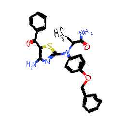 CC(C(N)=O)N(c1ccc(OCc2ccccc2)cc1)c1nc(N)c(C(=O)c2ccccc2)s1